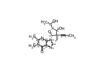 CC#C[C@@]1(F)C(O)[C@@H]([C@@H](C)O)O[C@H]1n1cnc2c(=O)n(N)c(N)nc21